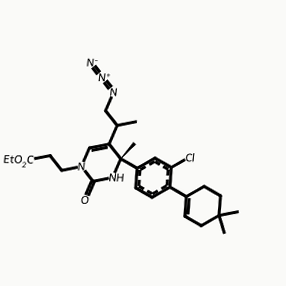 CCOC(=O)CCN1C=C(C(C)CN=[N+]=[N-])[C@](C)(c2ccc(C3=CCC(C)(C)CC3)c(Cl)c2)NC1=O